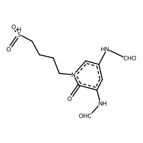 O=CNc1cc(NC=O)c(=O)n(CCCC[SH](=O)=O)c1